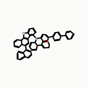 C1=CC2C(c3cccc4ccccc34)=Cc3c(oc4cccc(N(c5ccc(-c6ccc(-c7ccccc7)cc6)cc5)C5C=CC=CC5C5=CCCC=C5)c34)C2C=C1